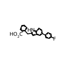 O=C(O)c1ccccc1Cc1cc2cc(-c3ccc(F)cc3)ccc2[nH]1